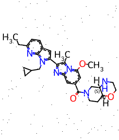 CCc1ccc2cc(-c3nc4cc(C(=O)N5CC[C@H]6OCCN[C@H]6C5)cc(OC)n4c3C)n(CC3CC3)c2n1